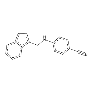 N#Cc1ccc(NCc2ccc3ccccn23)cc1